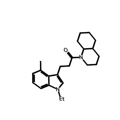 CCn1cc(CCC(=O)N2CCCC3CCCCC32)c2c(C)cccc21